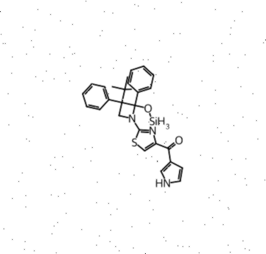 CC(C)(C)C1(c2ccccc2)CN(c2nc(C(=O)c3cc[nH]c3)cs2)C1(O[SiH3])c1ccccc1